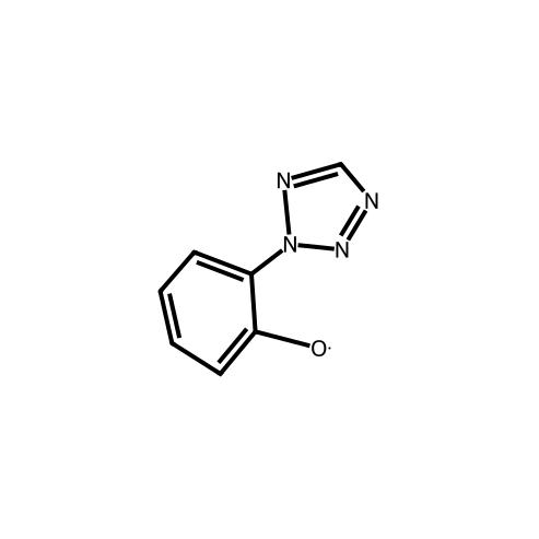 [O]c1ccccc1-n1ncnn1